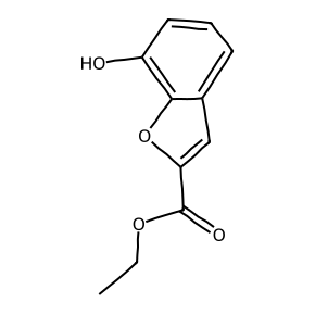 CCOC(=O)c1cc2cccc(O)c2o1